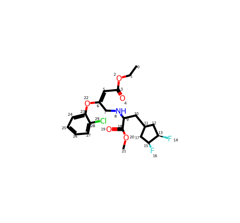 CCOC(=O)C=C(CNC(CC1C[C@@H](F)[C@@H](F)C1)C(=O)OC)Oc1ccccc1Cl